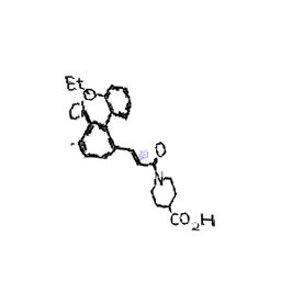 CCOc1ccccc1-c1c(Cl)[c]ccc1/C=C/C(=O)N1CCC(C(=O)O)CC1